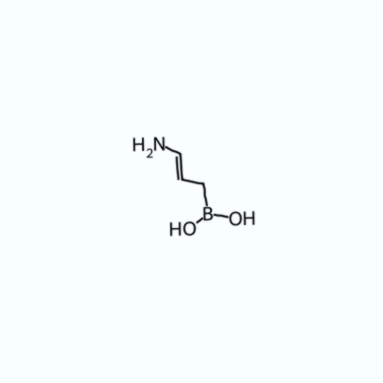 N/C=C/CB(O)O